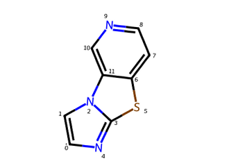 [c]1cn2c(n1)sc1ccncc12